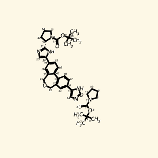 CC(C)(C)OC(=O)N1CCC[C@H]1c1ncc(-c2ccc3c(c2)COCc2cc(-c4cnc([C@@H]5CCCN5C(=O)OC(C)(C)C)[nH]4)ccc2-3)[nH]1